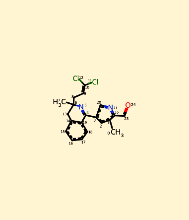 Cc1cc(C2=NC(C)(CC=C(Cl)Cl)Cc3ccccc32)cnc1C=O